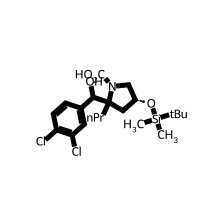 CCCC1(C(O)c2ccc(Cl)c(Cl)c2)C[C@@H](O[Si](C)(C)C(C)(C)C)CN1C(=O)O